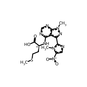 CSCC[C@H](Nc1ncnc2c1c(-c1ncc([N+](=O)[O-])n1C)nn2C)C(=O)O